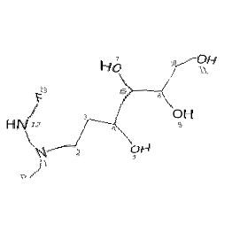 CN(CCC(O)C(O)C(O)CO)NF